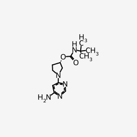 CC(C)(C)NC(=O)O[C@H]1CCN(c2cc(N)ncn2)C1